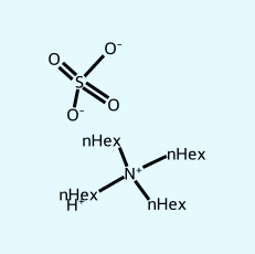 CCCCCC[N+](CCCCCC)(CCCCCC)CCCCCC.O=S(=O)([O-])[O-].[H+]